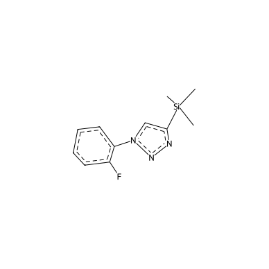 C[Si](C)(C)c1cn(-c2ccccc2F)nn1